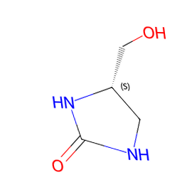 O=C1NC[C@@H](CO)N1